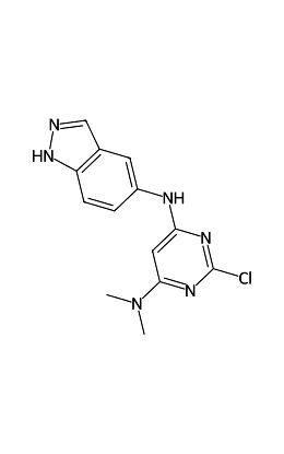 CN(C)c1cc(Nc2ccc3[nH]ncc3c2)nc(Cl)n1